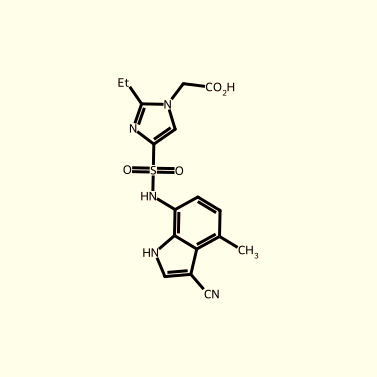 CCc1nc(S(=O)(=O)Nc2ccc(C)c3c(C#N)c[nH]c23)cn1CC(=O)O